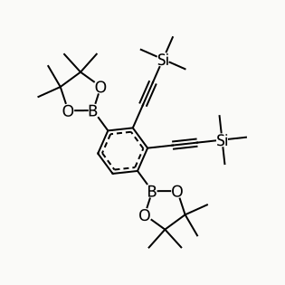 CC1(C)OB(c2ccc(B3OC(C)(C)C(C)(C)O3)c(C#C[Si](C)(C)C)c2C#C[Si](C)(C)C)OC1(C)C